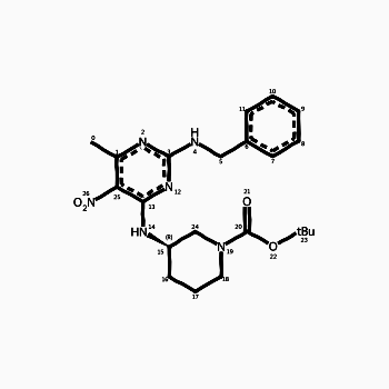 Cc1nc(NCc2ccccc2)nc(N[C@@H]2CCCN(C(=O)OC(C)(C)C)C2)c1[N+](=O)[O-]